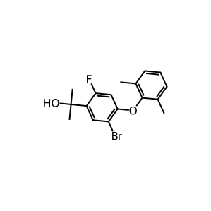 Cc1cccc(C)c1Oc1cc(F)c(C(C)(C)O)cc1Br